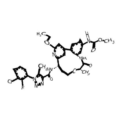 CCOc1cc2cc(n1)[C@@H](NC(=O)c1nnn(-c3cccc(Cl)c3F)c1C)CCC[C@@H](C)C(=O)Nc1cc(NC(=O)OC)ccc1-2